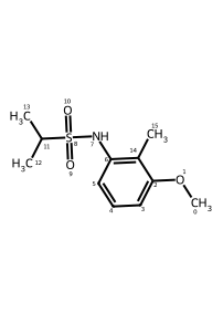 COc1cccc(NS(=O)(=O)C(C)C)c1C